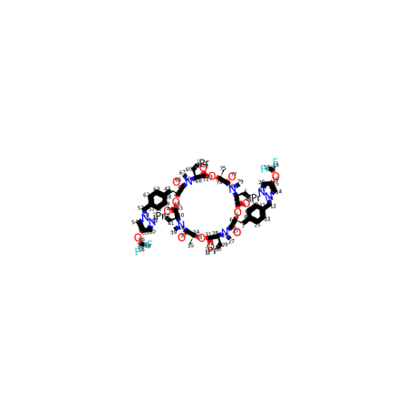 CC(C)C[C@H]1C(=O)O[C@H](Cc2ccc(Cn3cc(OC(F)F)cn3)cc2)C(=O)N(C)[C@@H](CC(C)C)C(=O)O[C@H](C)C(=O)N(C)[C@@H](CC(C)C)C(=O)O[C@H](Cc2ccc(Cn3cc(OC(F)F)cn3)cc2)C(=O)N(C)[C@@H](CC(C)C)C(=O)O[C@H](C)C(=O)N1C